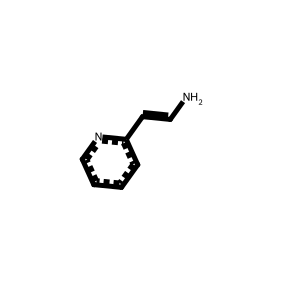 NC=Cc1ccccn1